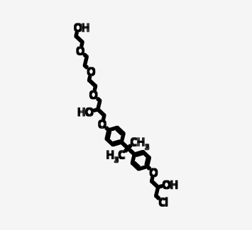 CC(C)(c1ccc(OCC(O)CCl)cc1)c1ccc(OCC(O)COCCOCCOCCO)cc1